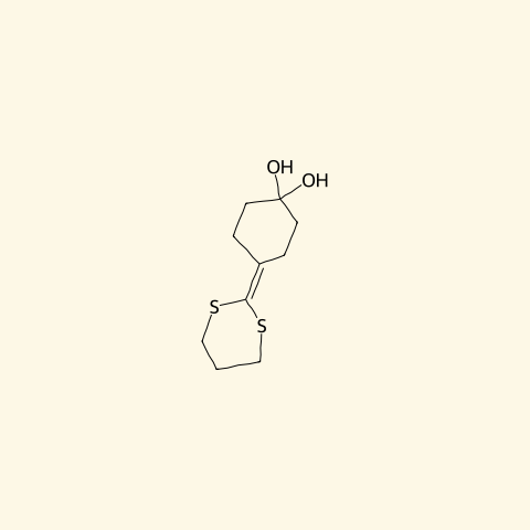 OC1(O)CCC(=C2SCCCS2)CC1